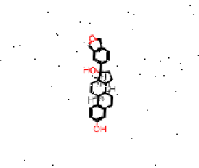 C[C@]12CC[C@@H]3c4ccc(O)cc4CC[C@H]3[C@@H]1CC[C@@]2(O)c1ccc2c(c1)COC2